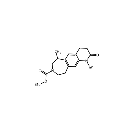 CCCN1C(=O)CCc2cc3c(cc21)CCN(C(=O)OC(C)(C)C)CC3C